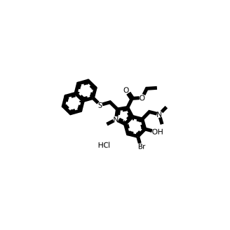 CCOC(=O)c1c(CSc2cccc3ccccc23)n(C)c2cc(Br)c(O)c(CN(C)C)c12.Cl